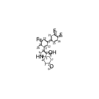 CO[C@H]1CC[C@@]2(CC1)NCC(c1cc(-c3ccc(F)c(F)c3)cc(F)c1C)=C2O